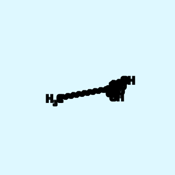 CCCCCCCCCCCCCCCCCCOc1ccc(CC(=O)O)c(I=O)c1CC(=O)O